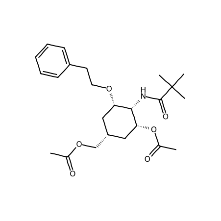 CC(=O)OC[C@@H]1C[C@H](OCCc2ccccc2)[C@H](NC(=O)C(C)(C)C)[C@H](OC(C)=O)C1